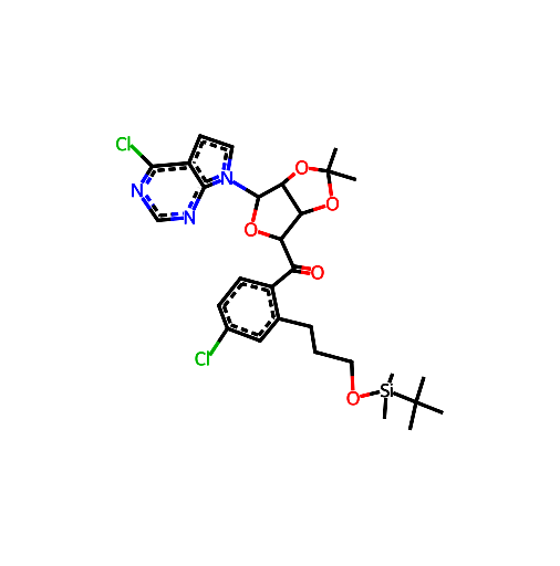 CC1(C)OC2C(C(=O)c3ccc(Cl)cc3CCCO[Si](C)(C)C(C)(C)C)OC(n3ccc4c(Cl)ncnc43)C2O1